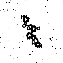 O=C([C@H]1Cc2cc(Cl)cc(-c3ccnc4[nH]c(Cc5cccnc5)cc34)c2O1)N1CCNCC1